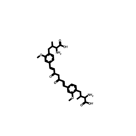 COc1cc(C=CC(=O)CC(=O)C=Cc2ccc(CC(C)C(N)C(=O)O)c(OC)c2)ccc1CC(C)C(N)C(=O)O